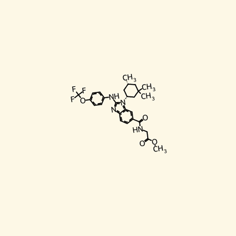 COC(=O)CNC(=O)c1ccc2nc(Nc3ccc(OC(F)(F)F)cc3)n([C@@H]3C[C@H](C)CC(C)(C)C3)c2c1